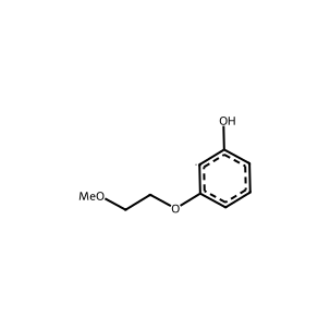 COCCOc1[c]c(O)ccc1